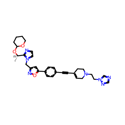 C[C@H](OC1CCCCO1)c1nccn1Cc1cc(-c2ccc(C#CC3=CCN(CCn4cncn4)CC3)cc2)on1